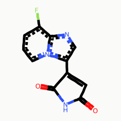 O=C1C=C(c2cnc3c(F)cccn23)C(=O)N1